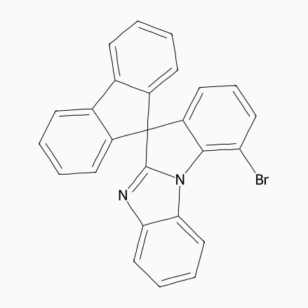 Brc1cccc2c1-n1c(nc3ccccc31)C21c2ccccc2-c2ccccc21